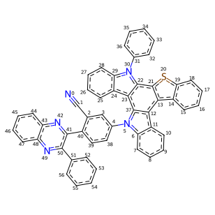 N#Cc1cc(-n2c3ccccc3c3c4c5ccccc5sc4c4c(c5ccccc5n4-c4ccccc4)c32)ccc1-c1nc2ccccc2nc1-c1ccccc1